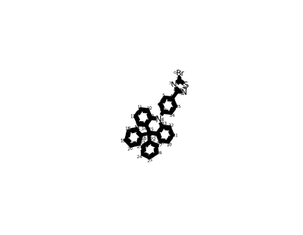 Brc1nc(-c2ccc(N3c4ccccc4C(c4ccccc4)(c4ccccc4)c4ccccc43)cc2)ns1